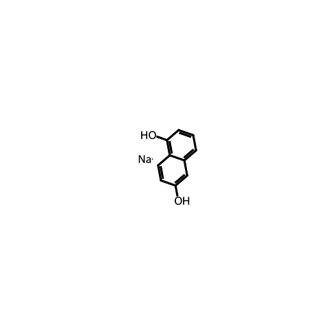 Oc1ccc2c(O)cccc2c1.[Na]